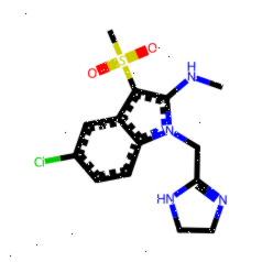 CNc1c(S(C)(=O)=O)c2cc(Cl)ccc2n1CC1=NCCN1